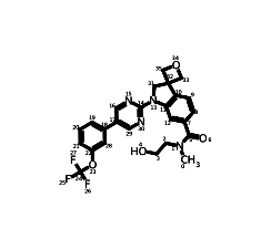 CN(CCO)C(=O)c1ccc2c(c1)N(c1ncc(-c3cccc(OC(F)(F)F)c3)cn1)CC21COC1